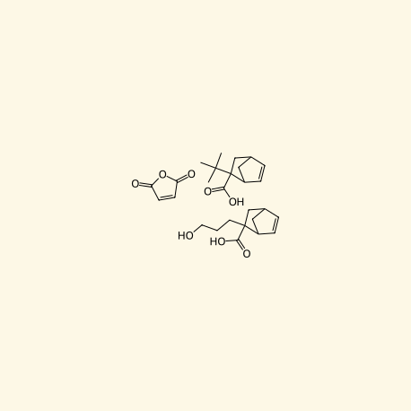 CC(C)(C)C1(C(=O)O)CC2C=CC1C2.O=C(O)C1(CCCO)CC2C=CC1C2.O=C1C=CC(=O)O1